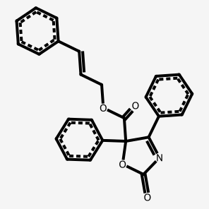 O=C1N=C(c2ccccc2)C(C(=O)OCC=Cc2ccccc2)(c2ccccc2)O1